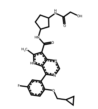 Cc1[nH]c2c(-c3cc(F)ccc3OCC3CC3)ncnc2c1C(=O)NC1CCC(NC(=O)CO)C1